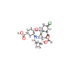 COC(=O)c1ccc2c(c1)N(C[C@@H]1CC[C@H]1COC(C)=O)CC1(CCCc3cc(Cl)ccc31)CO2